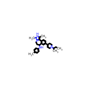 CCC(C)N1CC=C(c2ccc3c(c2)C(Nc2ccc(C)cc2)CCN2C3=C(C)NN2C)CC1